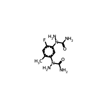 Cc1cc(F)c(N(N)C(N)=O)cc1N(N)C(N)=O